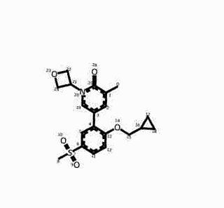 Cc1cc(-c2cc(S(C)(=O)=O)ccc2OCC2CC2)cn(C2COC2)c1=O